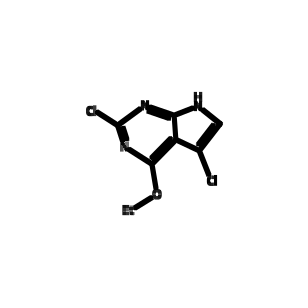 CCOc1nc(Cl)nc2[nH]cc(Cl)c12